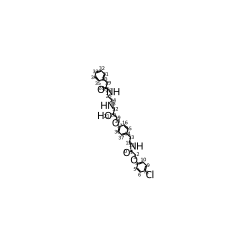 O=C(COc1ccc(Cl)cc1)NCCc1ccc(OCC(O)CNCCNC(=O)Cc2ccccc2)cc1